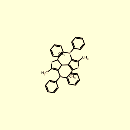 CC1=C(P(c2ccccc2)c2ccccc2)C(c2c(C)sc(C)c2P(c2ccccc2)c2ccccc2)C(C)S1